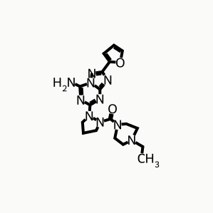 CCN1CCN(C(=O)N2CCCN2c2nc(N)n3nc(-c4ccco4)nc3n2)CC1